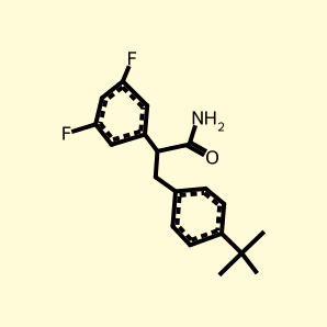 CC(C)(C)c1ccc(CC(C(N)=O)c2cc(F)cc(F)c2)cc1